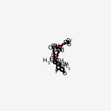 C[C@@H]1CC2C3C[C@H](F)C4=CC(=O)C=C[C@]4(C)[C@@]3(F)[C@@H](O)C[C@]2(C)[C@@]1(OC(=O)CCCO[N+](=O)[O-])C(=O)COC(=O)CC(OC(=O)CCCCCO[N+](=O)[O-])C(=O)O